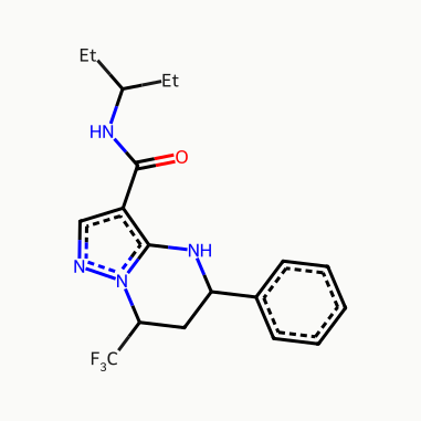 CCC(CC)NC(=O)c1cnn2c1NC(c1ccccc1)CC2C(F)(F)F